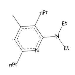 CCCc1[c]c(C)c(CCC)c(N(CC)CC)n1